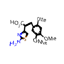 COc1cc(OC)c(OC)cc1C=C(C(=O)O)c1csc(N)n1